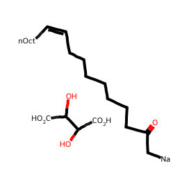 CCCCCCCC/C=C\CCCCCCCC(=O)[CH2][Na].O=C(O)C(O)C(O)C(=O)O